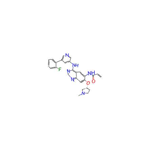 C=CC(=O)Nc1cc2c(Nc3cncc(-c4ccccc4F)c3)ncnc2cc1O[C@@H]1CCN(C)C1